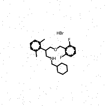 Br.Cc1cccc(C)c1C(CNCC1CCCCC1)COCc1c(F)cccc1F